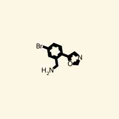 NCc1cc(Br)ccc1-c1cnco1